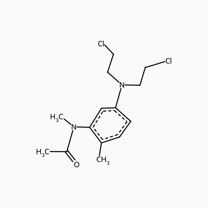 CC(=O)N(C)c1cc(N(CCCl)CCCl)ccc1C